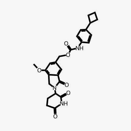 COc1cc(COC(=O)Nc2ccc(C3CCC3)cc2)cc2c1CN(C1CCC(=O)NC1=O)C2=O